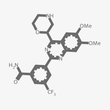 COc1cc2nc(-c3cc(C(N)=O)cc(C(F)(F)F)c3)nc(C3CNCCO3)c2cc1OC